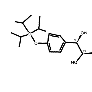 CC(C)[Si](Oc1ccc([C@@H](O)[C@@H](C)O)cc1)(C(C)C)C(C)C